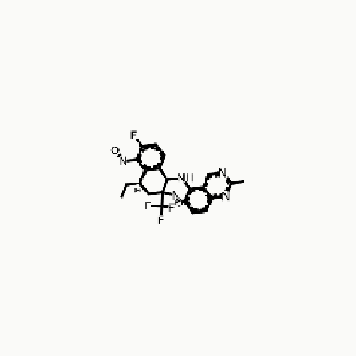 CC[C@@H]1CC(N=O)(C(F)(F)F)C(Nc2cccc3nc(C)ncc23)c2ccc(F)c(N=O)c21